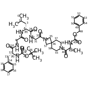 CC(C)C[C@@H](NC(=O)CNC(=O)[C@@H](Cc1ccccc1)NC(=O)OC(C)(C)C)C(=O)NCC(=O)N1CC2(CCN(C(=O)[C@@H](C)NC(=O)OCc3ccccc3)CC2)C1